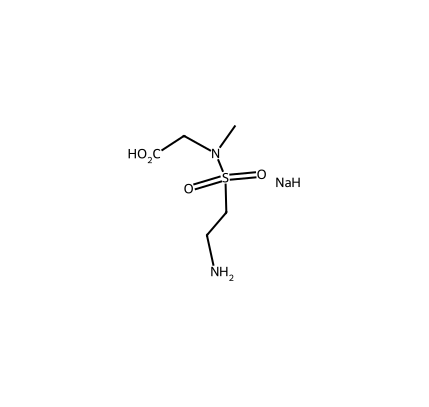 CN(CC(=O)O)S(=O)(=O)CCN.[NaH]